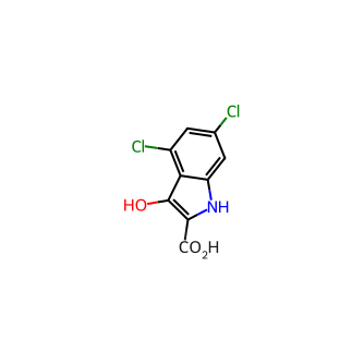 O=C(O)c1[nH]c2cc(Cl)cc(Cl)c2c1O